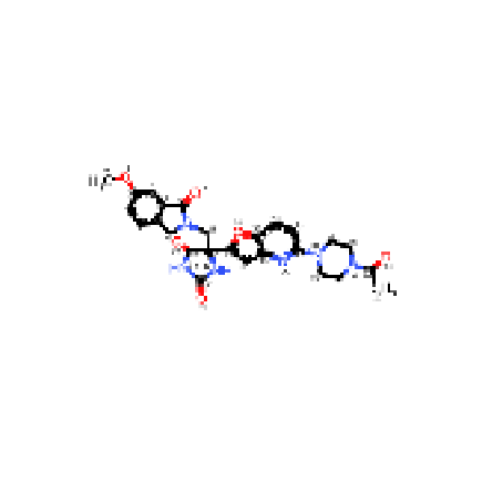 COc1ccc2c(c1)C(=O)N(C[C@@]1(c3cc4nc(N5CCN(C(C)=O)CC5)ccc4o3)NC(=O)NC1=O)C2